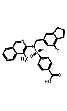 Cc1c(N(Cc2cc(F)c3c(c2)CCC3)S(=O)(=O)c2ccc(C(=O)O)cc2)ncc2ccccc12